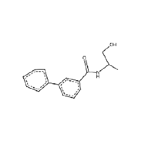 CC(CO)NC(=O)c1cccc(-c2ccccc2)c1